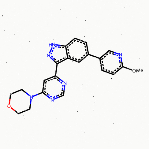 COc1ccc(-c2ccc3[nH]nc(-c4cc(N5CCOCC5)ncn4)c3c2)cn1